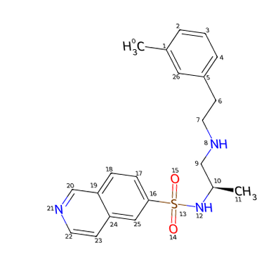 Cc1cccc(CCNC[C@@H](C)NS(=O)(=O)c2ccc3cnccc3c2)c1